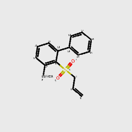 C=CCS(=O)(=O)c1c(CCCCCC)cccc1-c1ccccc1